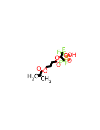 C=C(C)C(=O)OCCCC(=O)OC(C(F)(F)F)C(F)(F)S(=O)(=O)O